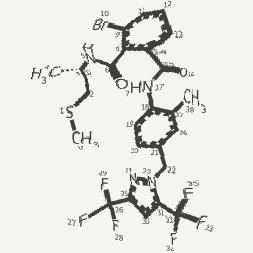 CSC[C@H](C)NC(=O)c1c(Br)cccc1C(=O)Nc1ccc(Cn2nc(C(F)(F)F)cc2C(F)(F)F)cc1C